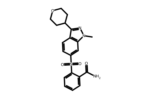 Cn1nc(C2CCOCC2)c2ccc(S(=O)(=O)c3ccccc3C(N)=O)cc21